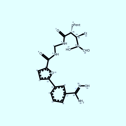 CCCCC[C@@H](C(=O)NCNC(=O)c1ccc(-c2cccc(/C(N)=N/O)c2)o1)[C@@H](CC)N(O)C=O